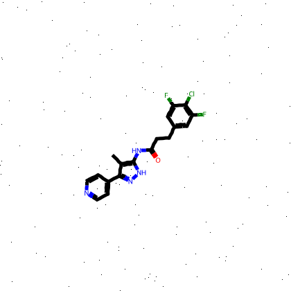 Cc1c(-c2ccncc2)n[nH]c1NC(=O)CCc1cc(F)c(Cl)c(F)c1